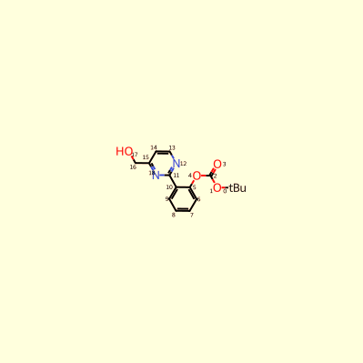 CC(C)(C)OC(=O)Oc1ccccc1-c1nccc(CO)n1